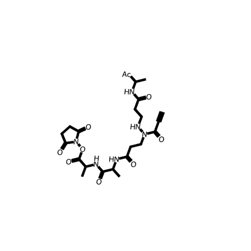 C#CC(=O)N(CCC(=O)NC(C)C(=O)NC(C)C(=O)ON1C(=O)CCC1=O)NCCC(=O)NC(C)C(C)=O